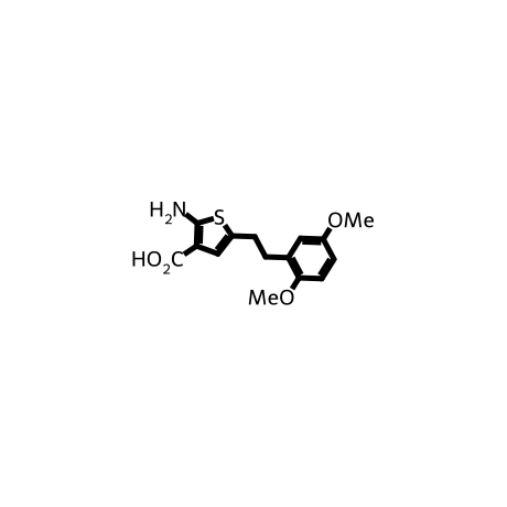 COc1ccc(OC)c(CCc2cc(C(=O)O)c(N)s2)c1